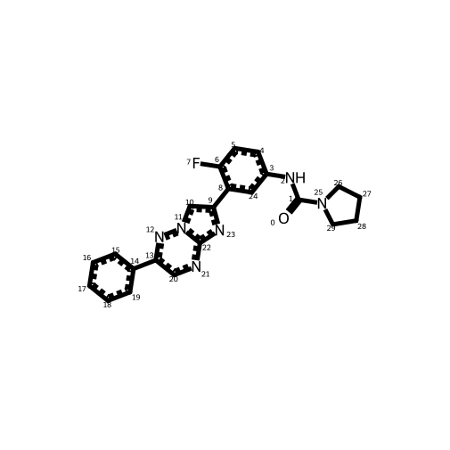 O=C(Nc1ccc(F)c(-c2cn3nc(-c4ccccc4)cnc3n2)c1)N1CCCC1